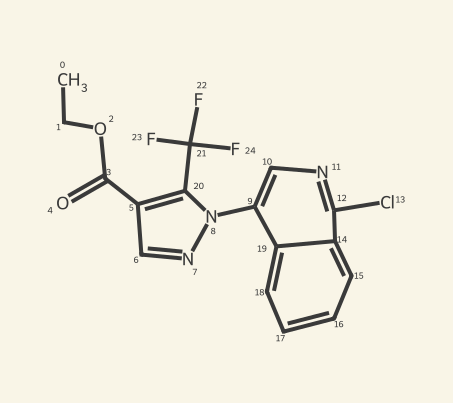 CCOC(=O)c1cnn(-c2cnc(Cl)c3ccccc23)c1C(F)(F)F